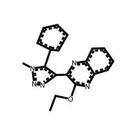 CCOc1nc2ccccc2nc1-c1nnn(C)c1-c1ccccc1